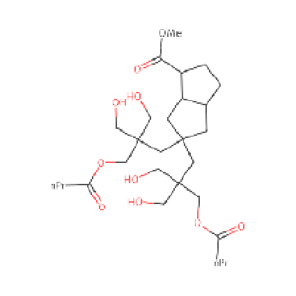 CCCC(=O)OCC(CO)(CO)CC1(CC(CO)(CO)COC(=O)CCC)CC2CCC(C(=O)OC)C2C1